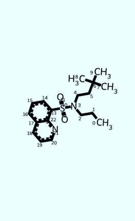 CCCN(CCC(C)(C)C)S(=O)(=O)c1cccc2cccnc12